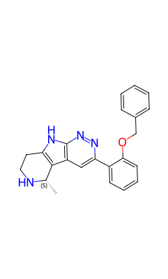 C[C@@H]1NCCc2[nH]c3nnc(-c4ccccc4OCc4ccccc4)cc3c21